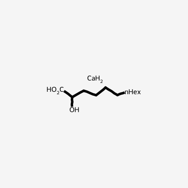 CCCCCCCCCCC(O)C(=O)O.[CaH2]